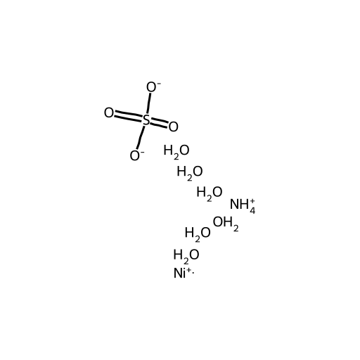 O.O.O.O.O.O.O=S(=O)([O-])[O-].[NH4+].[Ni+]